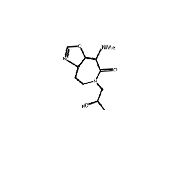 CNC1C(=O)N(CC(C)O)CCC2N=COC21